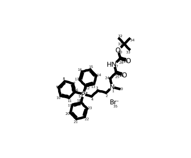 CN(CCC[P+](c1ccccc1)(c1ccccc1)c1ccccc1)CC(=O)NC(=O)OC(C)(C)C.[Br-]